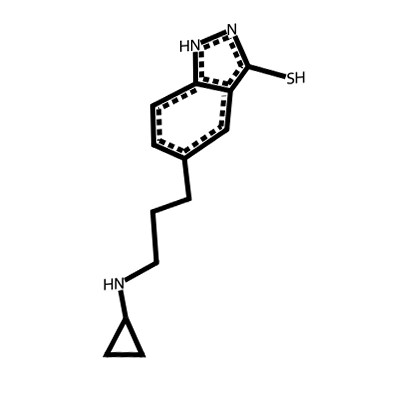 Sc1n[nH]c2ccc(CCCNC3CC3)cc12